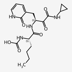 CCCC[C@H](NC(=O)O)C(=O)N[C@@H](Cc1ccc[nH]c1=O)C(=O)C(=O)NC1CC1